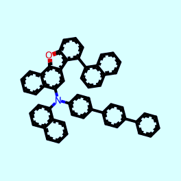 c1ccc(-c2ccc(-c3ccc(N(c4cccc5ccccc45)c4cc5c(oc6cccc(-c7cccc8ccccc78)c65)c5ccccc45)cc3)cc2)cc1